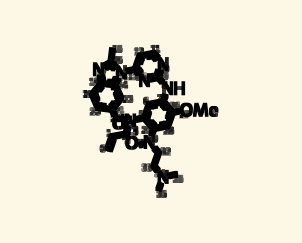 C=CC(=O)Nc1cc(Nc2nccc(-n3c(C)nc4ccc(C(F)(F)F)cc43)n2)c(OC)cc1N(C)CCN(C)C